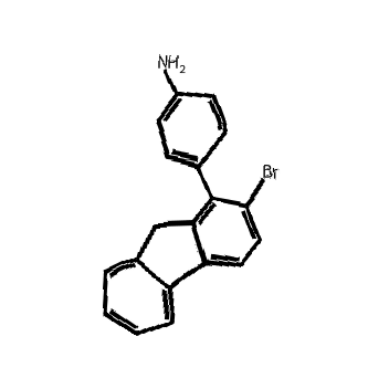 Nc1ccc(-c2c(Br)ccc3c2Cc2ccccc2-3)cc1